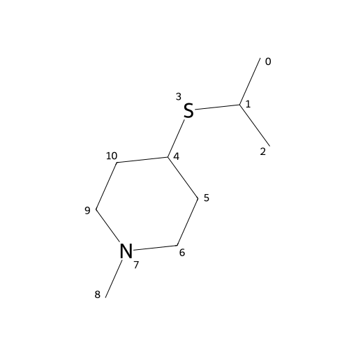 CC(C)SC1CCN(C)CC1